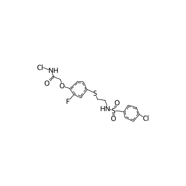 O=C(COc1ccc(SCCNS(=O)(=O)c2ccc(Cl)cc2)cc1F)NCl